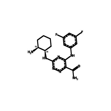 NC(=O)c1nnc(N[C@@H]2CCCC[C@@H]2N)nc1Nc1cc(F)cc(F)c1